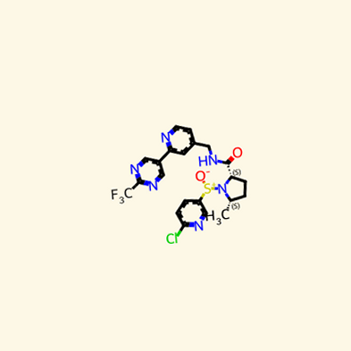 C[C@H]1CC[C@@H](C(=O)NCc2ccnc(-c3cnc(C(F)(F)F)nc3)c2)N1[S+]([O-])c1ccc(Cl)nc1